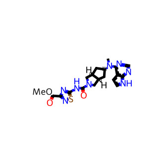 COC(=O)c1nsc(NC(=O)N2C[C@H]3C[C@@H](N(C)c4ncnc5[nH]ccc45)C[C@H]3C2)n1